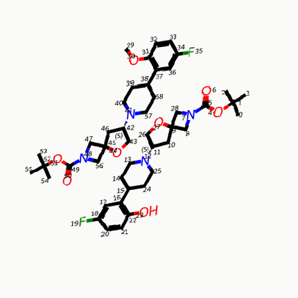 CC(C)(C)OC(=O)N1CC2(C[C@H](N3CCC(c4cc(F)ccc4O)CC3)CO2)C1.COc1ccc(F)cc1C1CCN([C@@H]2COC3(C2)CN(C(=O)OC(C)(C)C)C3)CC1